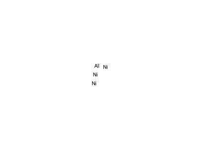 [Al].[Ni].[Ni].[Ni]